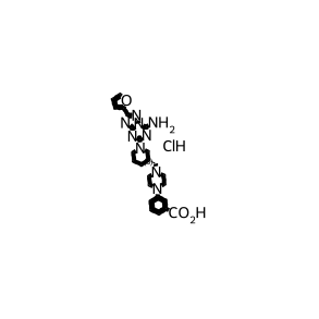 Cl.Nc1nc(N2CCC[C@@H](CN3CCN(c4cccc(C(=O)O)c4)CC3)C2)nc2nc(-c3ccco3)nn12